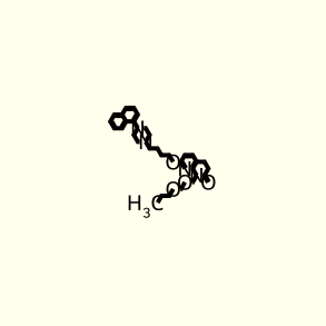 CCCOCOCN1C(=O)CCc2ccc(OCCCCN3CCN(c4cccc5ccccc45)CC3)nc21